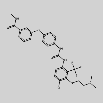 CNC(=O)c1cc(Oc2ccc(NC(=O)Nc3ccc(Cl)c(OCCN(C)C)c3C(F)(F)F)cc2)ccn1